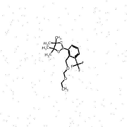 CCOCOCc1c(B2OC(C)(C)C(C)(C)O2)c[c]cc1C(F)(F)F